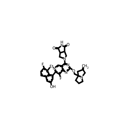 C=C1CN2CCCC2(COc2nc(N3CC4C(=O)NC(=O)C4C3)c3cnc(-c4cc(O)cc5ccc(F)c(CC)c45)c(F)c3n2)C1